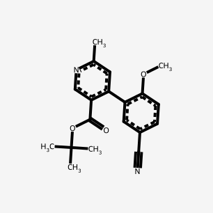 COc1ccc(C#N)cc1-c1cc(C)ncc1C(=O)OC(C)(C)C